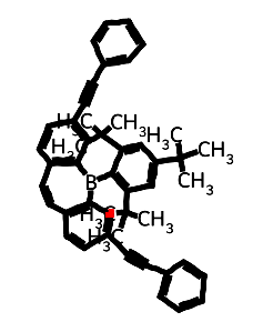 CC(C)(C)c1cc(C(C)(C)C)c(B2c3cc(C#Cc4ccccc4)ccc3C=Cc3ccc(C#Cc4ccccc4)cc32)c(C(C)(C)C)c1